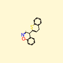 [C]1=NOc2ccccc2C1C1=CCc2ccccc2S1